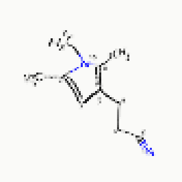 Cc1cc(CCC#N)c(C)n1C